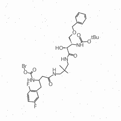 CC(C)(CNC(=O)CC(Cc1cc(F)ccc1F)NC(=O)OBr)CNC(=O)[C@@H](O)[C@@H](COCc1ccccc1)NC(=O)OC(C)(C)C